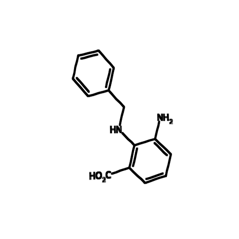 Nc1cccc(C(=O)O)c1NCc1ccccc1